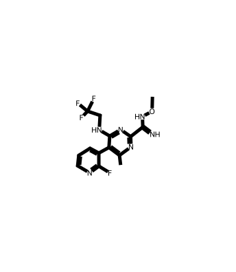 CONC(=N)c1nc(C)c(-c2cccnc2F)c(NCC(F)(F)F)n1